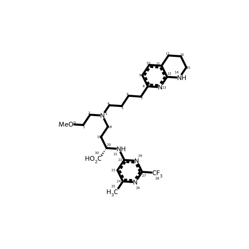 COCCN(CCCCc1ccc2c(n1)NCCC2)CC[C@H](Nc1cc(C)nc(C(F)(F)F)n1)C(=O)O